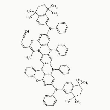 C#C/C=C\C1=C(C)B2c3cc4c(cc3N(c3ccccc3)c3cc(N(c5ccccc5)c5ccc6c(c5)C(C)(C)CCC6(C)C)nc(c32)O1)N(c1ccccc1)c1cc(N(c2ccccc2)c2ccc3c(c2)C(C)(C)CCC3(C)C)nc2c1B4c1ccccc1O2